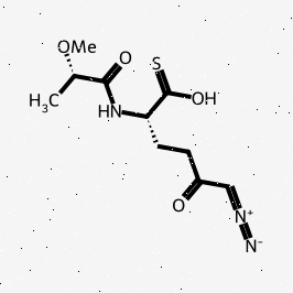 CO[C@@H](C)C(=O)N[C@@H](CCC(=O)C=[N+]=[N-])C(O)=S